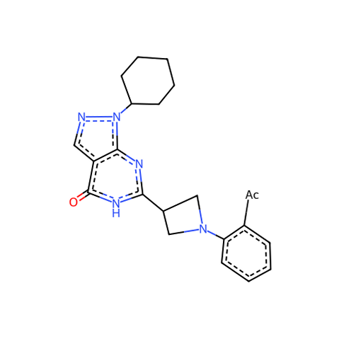 CC(=O)c1ccccc1N1CC(c2nc3c(cnn3C3CCCCC3)c(=O)[nH]2)C1